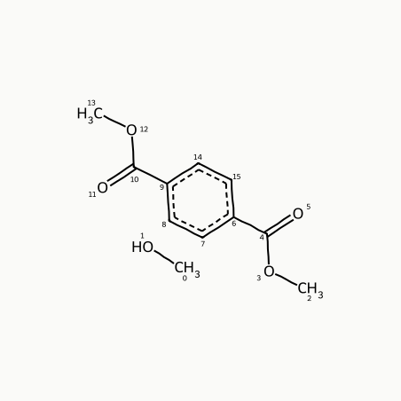 CO.COC(=O)c1ccc(C(=O)OC)cc1